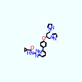 O=C(Nc1nc2cccc(-c3ccc(OC(CCn4cccn4)Cn4cccn4)cc3)n2n1)C1CC1